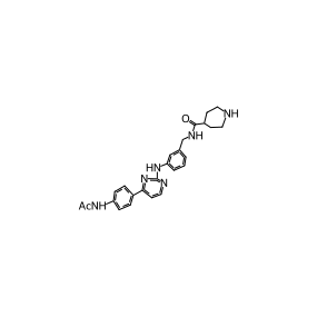 CC(=O)Nc1ccc(-c2ccnc(Nc3cccc(CNC(=O)C4CCNCC4)c3)n2)cc1